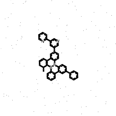 CC1CC=CC2=C1B1c3ccccc3-c3cc(-c4ccccc4)ccc3N1c1ccc(-c3cncc(-c4ccccn4)c3)cc12